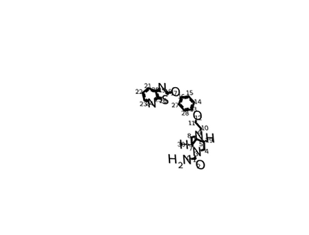 NC(=O)N1C[C@@H]2C[C@H]1CN2CCOc1ccc(Oc2nc3cccnc3s2)cc1